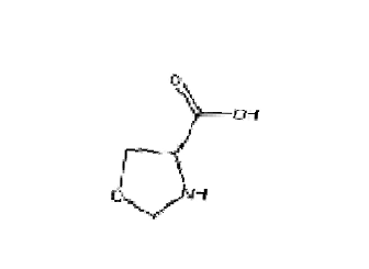 O=C(O)C1COCN1